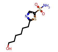 NS(=O)(=O)c1cnc(CCCCCCO)s1